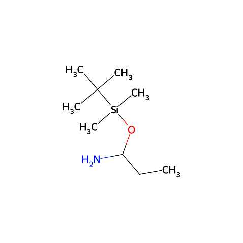 CCC(N)O[Si](C)(C)C(C)(C)C